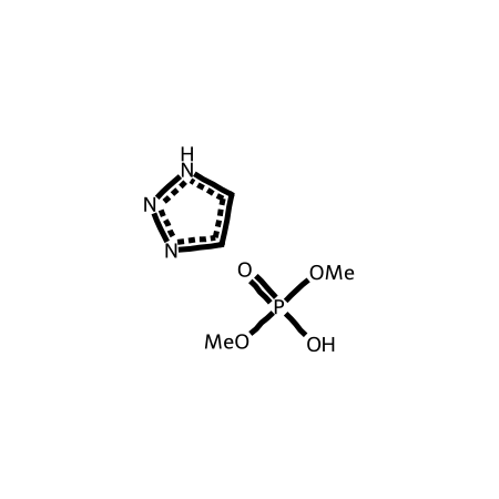 COP(=O)(O)OC.c1c[nH]nn1